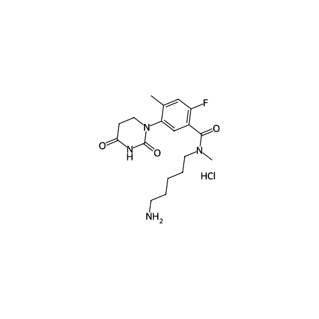 Cc1cc(F)c(C(=O)N(C)CCCCCN)cc1N1CCC(=O)NC1=O.Cl